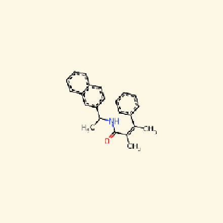 CC(C(=O)NC(C)c1ccc2ccccc2c1)=C(C)c1ccccc1